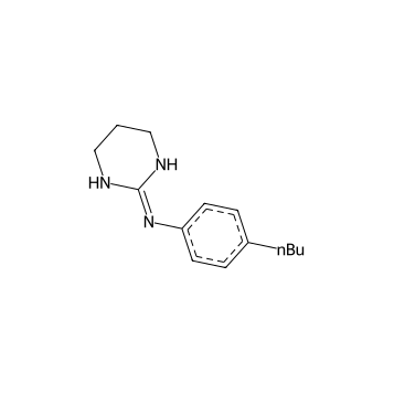 CCCCc1ccc(N=C2NCCCN2)cc1